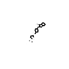 CCN(CC)c1ccc(NCc2ccc(-c3n[nH]c4c3Cc3ccccc3-4)cc2)cn1